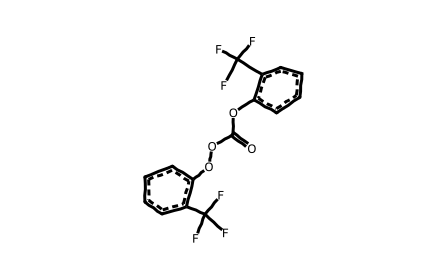 O=C(OOc1ccccc1C(F)(F)F)Oc1ccccc1C(F)(F)F